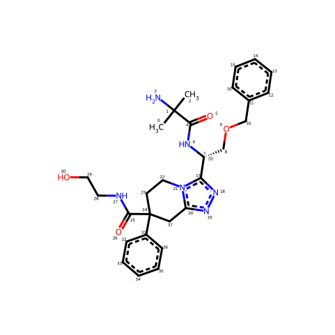 CC(C)(N)C(=O)N[C@H](COCc1ccccc1)c1nnc2n1CCC(C(=O)NCCO)(c1ccccc1)C2